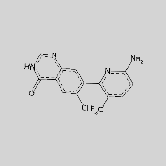 Nc1ccc(C(F)(F)F)c(-c2cc3nc[nH]c(=O)c3cc2Cl)n1